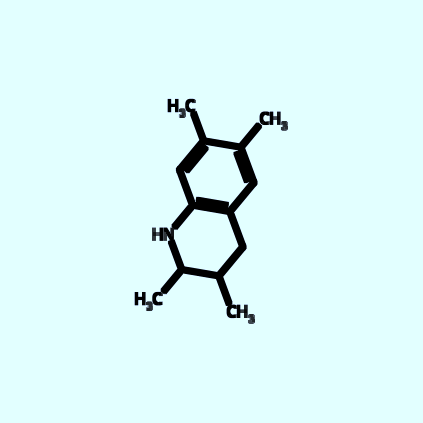 Cc1cc2c(cc1C)NC(C)C(C)C2